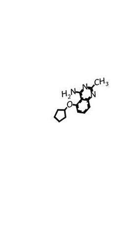 Cc1nc(N)c2c(OC3CCCC3)cccc2n1